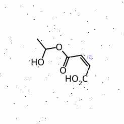 CC(O)OC(=O)/C=C\C(=O)O